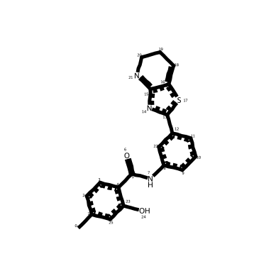 Cc1ccc(C(=O)Nc2cccc(-c3nc4c(s3)=CCCN=4)c2)c(O)c1